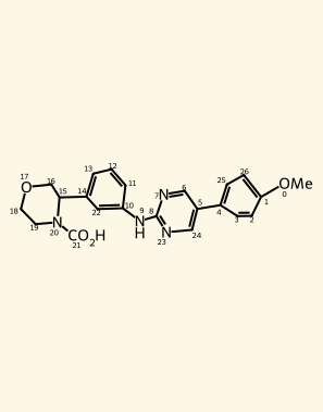 COc1ccc(-c2cnc(Nc3cccc(C4COCCN4C(=O)O)c3)nc2)cc1